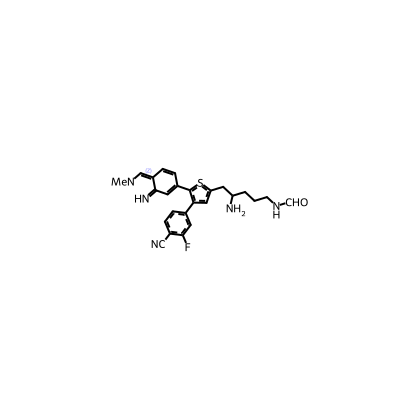 CN/C=C1/C=CC(c2sc(CC(N)CCCNC=O)cc2-c2ccc(C#N)c(F)c2)=CC1=N